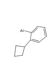 CC(=O)c1ccccc1C1CCC1